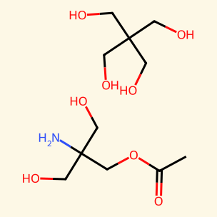 CC(=O)OCC(N)(CO)CO.OCC(CO)(CO)CO